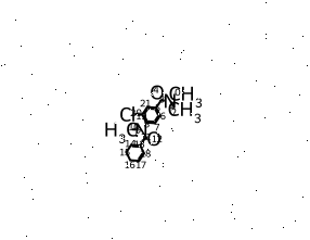 CN(C)C(=O)c1ccc(N(C)C(=O)C2=CCCC=C2)c(Cl)c1